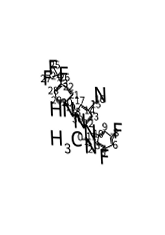 Cc1nc2c(F)cc(F)cc2n1-c1cc(C#N)cc(Nc2ccc(C(F)(F)F)cc2)n1